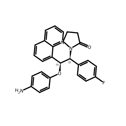 Nc1ccc(O[C@@H](c2cccc3cccnc23)[C@H](c2ccc(F)cc2)N2CCCC2=O)cc1